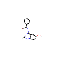 COc1ccc2nc(Cl)nc(NC(CO)c3ccccc3)c2c1